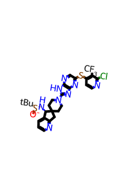 CC(C)(C)[S+]([O-])N[C@@H]1c2cccnc2CC12CCN(c1nc3nc(Sc4ccnc(Cl)c4C(F)(F)F)cnc3[nH]1)CC2